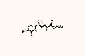 CC(C)N(C)/C(Cl)=N\CN(C)CCNC(=O)OC(C)(C)C